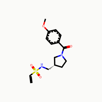 C=CS(=O)(=O)NC[C@H]1CCN(C(=O)c2ccc(OC)cc2)C1